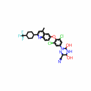 Cc1cc(C2CCC(C(F)(F)F)CC2)nc2ccc(Oc3c(Cl)cc(N4N=C(C#N)C(O)NC4O)cc3Cl)cc12